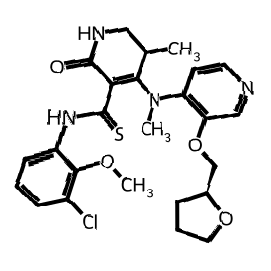 COc1c(Cl)cccc1NC(=S)C1=C(N(C)c2ccncc2OC[C@@H]2CCCO2)C(C)CNC1=O